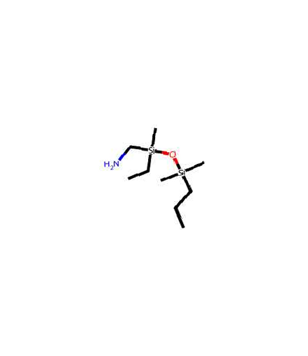 CCC[Si](C)(C)O[Si](C)(CC)CN